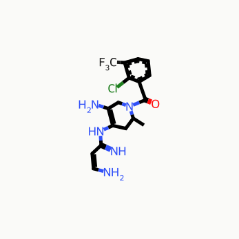 CC1CC(NC(=N)/C=C\N)=C(N)CN1C(=O)c1cccc(C(F)(F)F)c1Cl